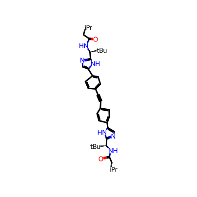 CC(C)CC(=O)N[C@H](c1ncc(-c2ccc(C#Cc3ccc(-c4cnc([C@@H](NC(=O)CC(C)C)C(C)(C)C)[nH]4)cc3)cc2)[nH]1)C(C)(C)C